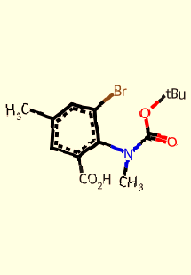 Cc1cc(Br)c(N(C)C(=O)OC(C)(C)C)c(C(=O)O)c1